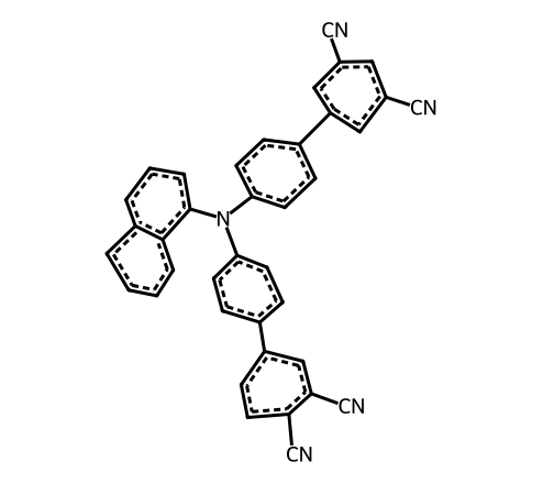 N#Cc1cc(C#N)cc(-c2ccc(N(c3ccc(-c4ccc(C#N)c(C#N)c4)cc3)c3cccc4ccccc34)cc2)c1